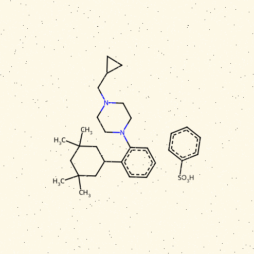 CC1(C)CC(c2ccccc2N2CCN(CC3CC3)CC2)CC(C)(C)C1.O=S(=O)(O)c1ccccc1